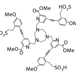 COC(=O)c1cc(C#Cc2ccc(OC)cc2CCS(=O)(=O)O)cc(CN2CCN(Cc3cc(C#Cc4ccc(OC)cc4CCS(=O)(=O)O)cc(C(=O)OC)n3)CCN(Cc3cc(C#Cc4ccc(OC)cc4CCS(=O)(=O)O)cc(C(=O)OC)n3)CC2)n1